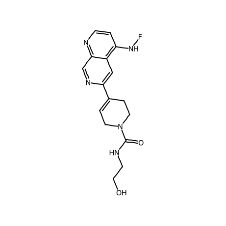 O=C(NCCO)N1CC=C(c2cc3c(NF)ccnc3cn2)CC1